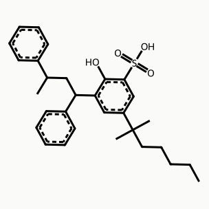 CCCCCC(C)(C)c1cc(C(CC(C)c2ccccc2)c2ccccc2)c(O)c(S(=O)(=O)O)c1